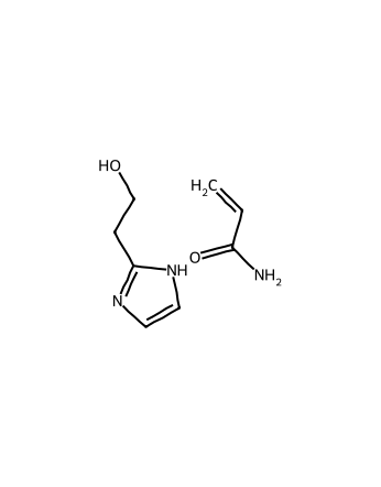 C=CC(N)=O.OCCc1ncc[nH]1